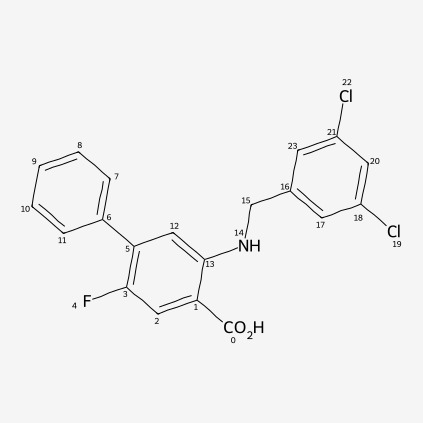 O=C(O)c1cc(F)c(-c2ccccc2)cc1NCc1cc(Cl)cc(Cl)c1